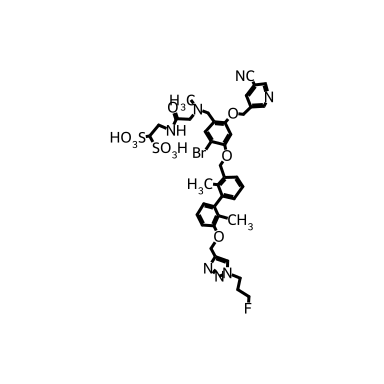 Cc1c(COc2cc(OCc3cncc(C#N)c3)c(CN(C)CC(=O)NCC(S(=O)(=O)O)S(=O)(=O)O)cc2Br)cccc1-c1cccc(OCc2cn(CCCF)nn2)c1C